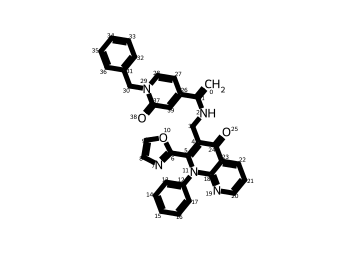 C=C(NCc1c(-c2ncco2)n(-c2ccccc2)c2ncccc2c1=O)c1ccn(Cc2ccccc2)c(=O)c1